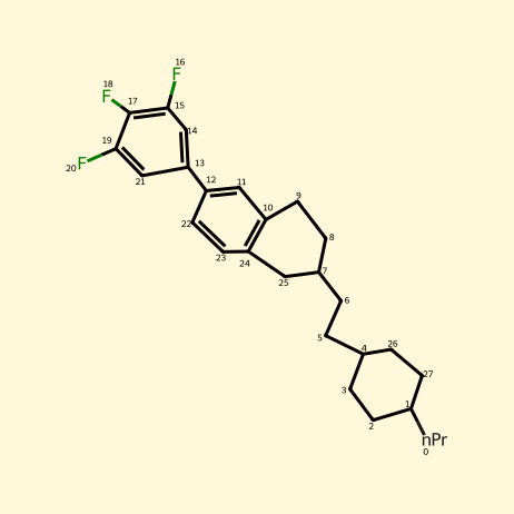 CCCC1CCC(CCC2CCc3cc(-c4cc(F)c(F)c(F)c4)ccc3C2)CC1